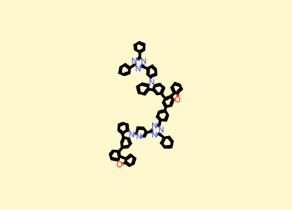 c1ccc(-c2nc(-c3ccc(-c4cc(-c5ccc6c(c5)c5ccccc5n6-c5cccc(-c6nc(-c7ccccc7)nc(-c7ccccc7)n6)c5)c5c(c4)oc4ccccc45)cc3)nc(-c3ccc(-n4c5ccccc5c5cc(-c6cccc7oc8ccccc8c67)ccc54)nc3)n2)cc1